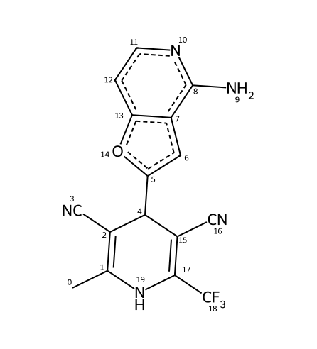 CC1=C(C#N)C(c2cc3c(N)nccc3o2)C(C#N)=C(C(F)(F)F)N1